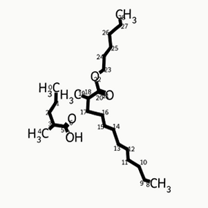 CCCC(C)C(=O)O.CCCCCCCCCCC(C)C(=O)OCCCCCC